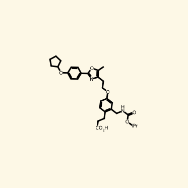 Cc1oc(-c2ccc(OC3CCCC3)cc2)nc1CCOc1ccc(CCC(=O)O)c(CNC(=O)OC(C)C)c1